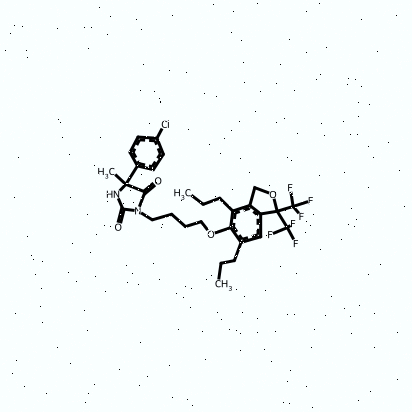 CCCc1cc2c(c(CCC)c1OCCCCN1C(=O)NC(C)(c3ccc(Cl)cc3)C1=O)COC2(C(F)(F)F)C(F)(F)F